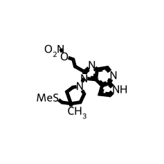 CSCC1(C)CCN(n2c(CCO[N+](=O)[O-])nc3cnc4[nH]ccc4c32)CC1